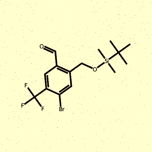 CC(C)(C)[Si](C)(C)OCc1cc(Br)c(C(F)(F)F)cc1C=O